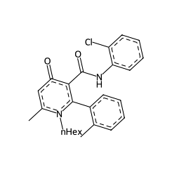 CCCCCCn1c(C)cc(=O)c(C(=O)Nc2ccccc2Cl)c1-c1ccccc1C